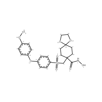 O=C(NO)C1(CS(=O)(=O)c2ccc(Oc3ccc(OC(F)(F)F)cc3)cc2)CCC2(CC1)OCCO2